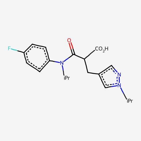 CC(C)N(C(=O)C(Cc1cnn(C(C)C)c1)C(=O)O)c1ccc(F)cc1